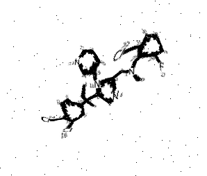 CN(Cc1ncc(C(C)(C)c2ccc(Cl)c(Cl)c2)n1-c1cccnc1)c1c(F)cccc1Cl